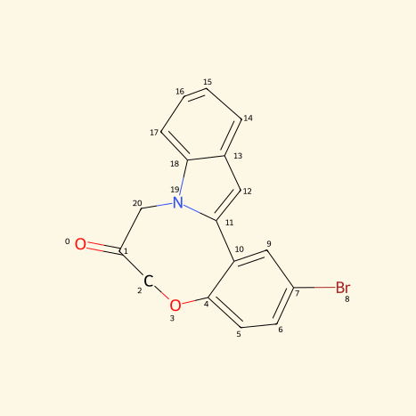 O=C1COc2ccc(Br)cc2-c2cc3ccccc3n2C1